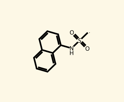 [CH2]S(=O)(=O)Nc1cccc2ccccc12